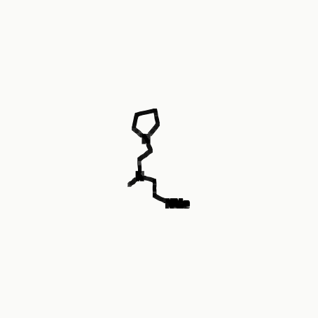 CNCCN(C)CCN1CCCC1